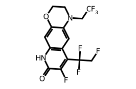 O=c1[nH]c2cc3c(cc2c(C(F)(F)CF)c1F)N(CC(F)(F)F)CCO3